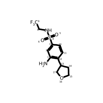 Nc1cc(S(=O)(=O)NCC(F)(F)F)ccc1C1CCOC1